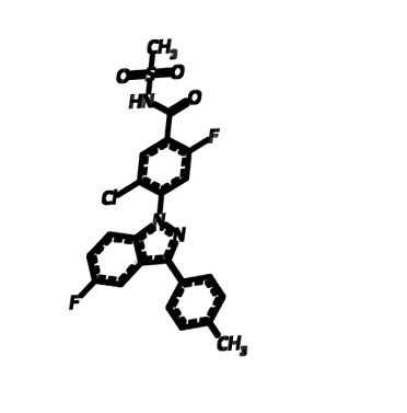 Cc1ccc(-c2nn(-c3cc(F)c(C(=O)NS(C)(=O)=O)cc3Cl)c3ccc(F)cc23)cc1